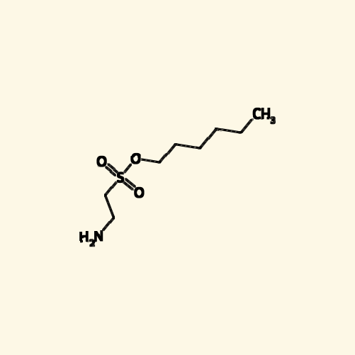 CCCCCCOS(=O)(=O)CCN